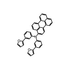 c1cc(-c2ccco2)cc(N(c2cccc(-c3ccco3)c2)c2ccc3c4cccc5cccc(c6cccc2c63)c54)c1